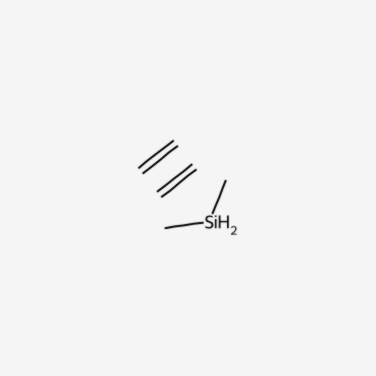 C=C.C=C.C[SiH2]C